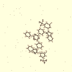 Cc1cc(-c2nc3ccccc3n2-c2cccc(-c3nc(-c4ccccc4)nc(-c4cccc(-n5c(-c6cc(C)cc(C(F)(F)F)c6)nc6ccccc65)c4)n3)c2)cc(C(F)(F)F)c1